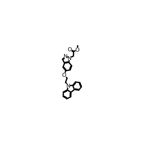 COC(=O)Cn1ncc2cc(OCCn3c4ccccc4c4ccccc43)ccc21